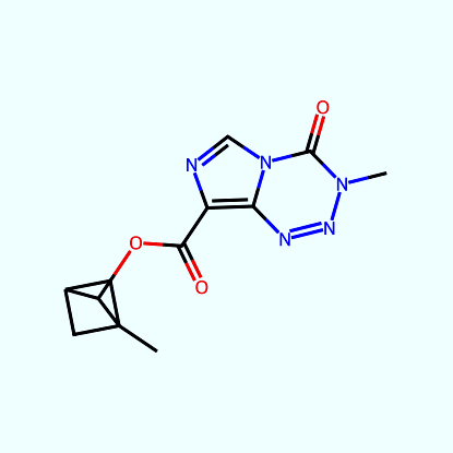 Cn1nnc2c(C(=O)OC3C4CC3(C)C4)ncn2c1=O